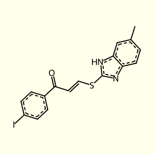 Cc1ccc2nc(S/C=C/C(=O)c3ccc(I)cc3)[nH]c2c1